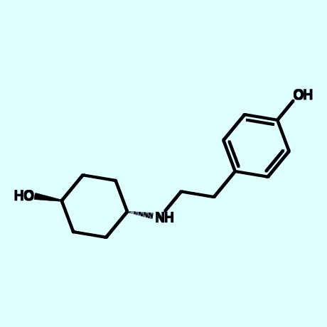 Oc1ccc(CCN[C@H]2CC[C@H](O)CC2)cc1